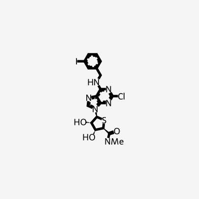 CNC(=O)[C@@H]1S[C@H](n2cnc3c(NCc4cccc(I)c4)nc(Cl)nc32)[C@@H](O)[C@H]1O